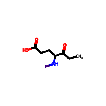 CCC(=O)C(CCC(=O)O)NI